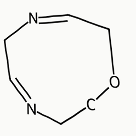 C1=NCC=NCCOC1